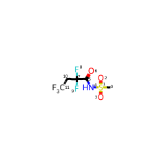 CS(=O)(=O)NC(=O)C(F)(F)CC(F)(F)F